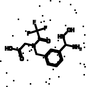 NC(NO)c1cccc(CN(CC(=O)O)C(=O)C(F)(F)F)c1